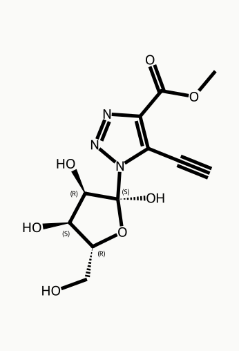 C#Cc1c(C(=O)OC)nnn1[C@@]1(O)O[C@H](CO)[C@@H](O)[C@H]1O